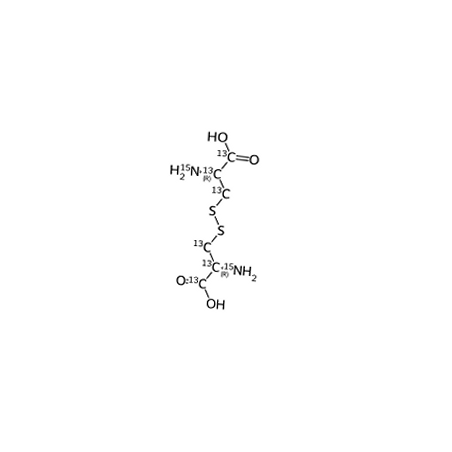 [15NH2][13C@@H]([13CH2]SS[13CH2][13C@H]([15NH2])[13C](=O)O)[13C](=O)O